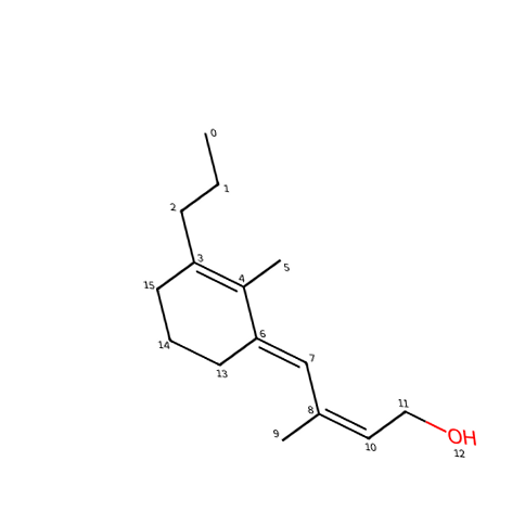 CCCC1=C(C)/C(=C/C(C)=C\CO)CCC1